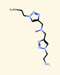 CC(=O)NCCn1cc(CN(I)Cc2cn(CCN)nn2)nn1